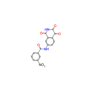 O=C1NC(=O)c2cc(NC(=O)c3cccc([N+](=O)[O-])c3)ccc2C1=O